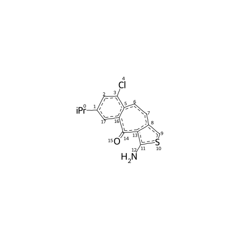 CC(C)c1cc(Cl)c2ccc3csc(N)c3c(=O)c2c1